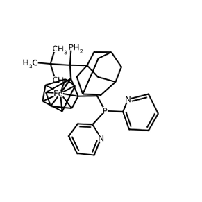 CC(C)(C)C(P)(C12CC3CC(CC(C3)C1)C2)[C]12[CH]3[CH]4[CH]5[C]1(CP(c1ccccn1)c1ccccn1)[Fe]45321678[CH]2[CH]1[CH]6[CH]7[CH]28